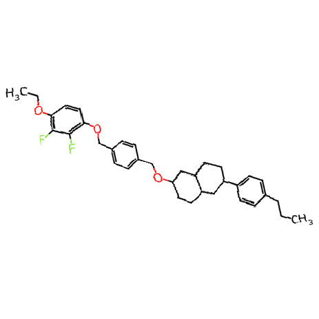 CCCc1ccc(C2CCC3CC(OCc4ccc(COc5ccc(OCC)c(F)c5F)cc4)CCC3C2)cc1